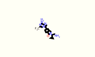 NCC(C1CC1)N1Cc2cc(-c3cnc4c(N)nc(C(F)(F)F)cn34)ccc2C1=O